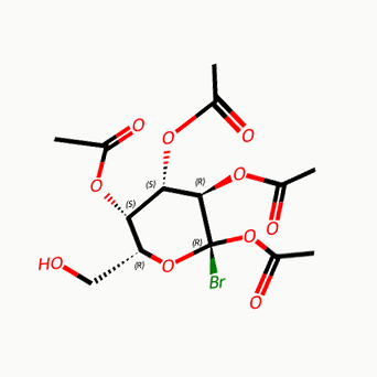 CC(=O)O[C@@H]1[C@H](OC(C)=O)[C@@H](OC(C)=O)[C@](Br)(OC(C)=O)O[C@@H]1CO